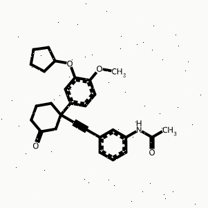 COc1ccc(C2(C#Cc3cccc(NC(C)=O)c3)CCCC(=O)C2)cc1OC1CCCC1